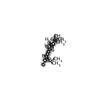 CCCCC(CC)COc1cc(C2=CCC=C2)ccc1N1C(=O)c2cc3cc4c(cc3cc2C1=O)C(=O)C(c1nc2ccc(-n3c(C)c(CC)c(CC)c3C)cc2c(=O)[nH]1)C4=O